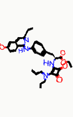 CCCN(CCC)c1c(N[C@@H](Cc2ccc(Nc3nc(CC)cc4cc(OC)ccc34)cc2)C(=O)OCC)c(=O)c1=O